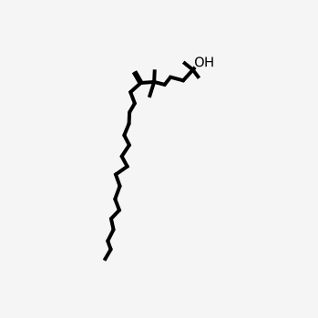 C=C(CCCCCCCCCCCCCCCCC)C(C)(C)CCCC(C)(C)O